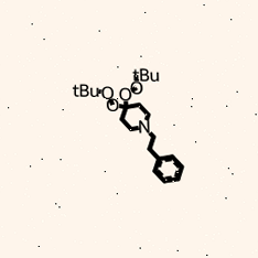 CC(C)(C)OOC1(OOC(C)(C)C)CCN(CCc2ccccc2)CC1